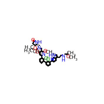 COc1nc(-c2cccc(-c3cccc(-c4ccc5c(CCNC[C@H](C)OC)c[nH]c5n4)c3Cl)c2Cl)ccc1CN(C[C@@H]1CCC(=O)N1)C(=O)OC(C)(C)C